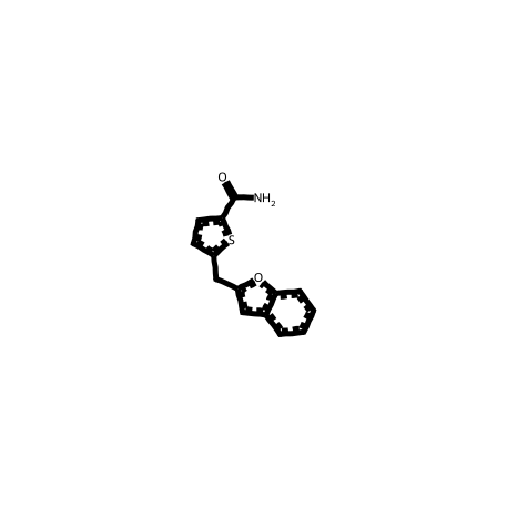 NC(=O)c1ccc(Cc2cc3ccccc3o2)s1